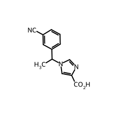 CC(c1cccc(C#N)c1)n1cnc(C(=O)O)c1